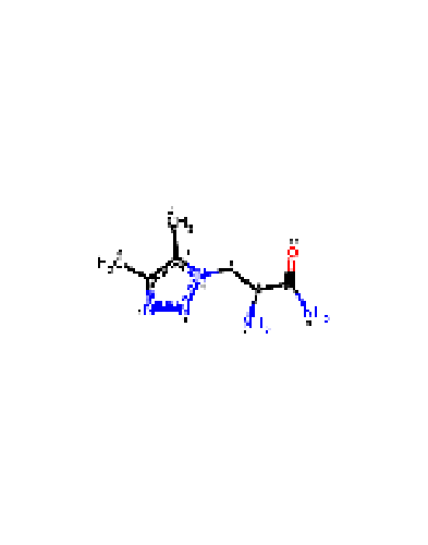 Cc1nnn(C[C@H](N)C(N)=O)c1C